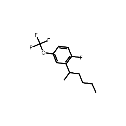 CCCCC(C)c1cc(OC(F)(F)F)ccc1F